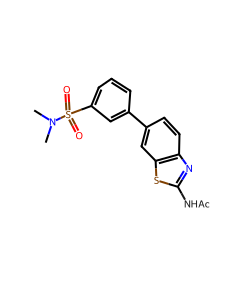 CC(=O)Nc1nc2ccc(-c3cccc(S(=O)(=O)N(C)C)c3)cc2s1